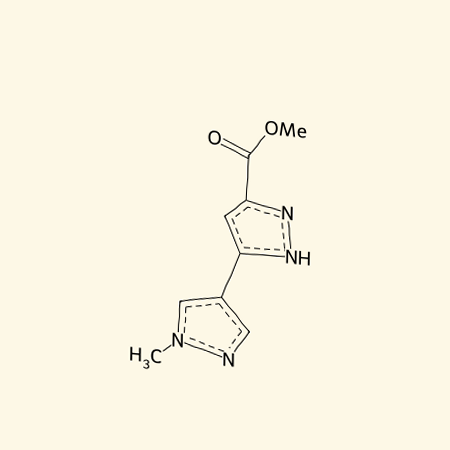 COC(=O)c1cc(-c2cnn(C)c2)[nH]n1